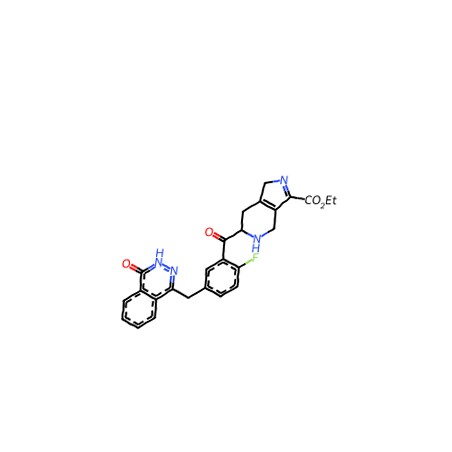 CCOC(=O)C1=NCC2=C1CNC(C(=O)c1cc(Cc3n[nH]c(=O)c4ccccc34)ccc1F)C2